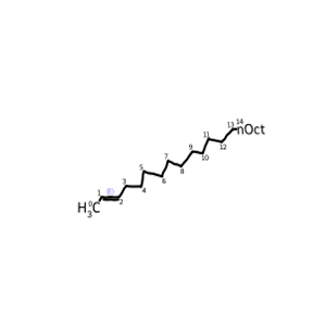 C/C=C/CCCCCCCCCCCCCCCCCCC